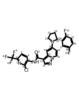 O=C(Nc1ccc(C(F)(F)F)nc1Cl)c1cnn2ccc(N3CCC[C@@H]3c3cc(F)ccc3F)cc12